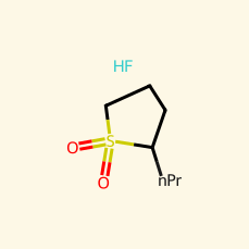 CCCC1CCCS1(=O)=O.F